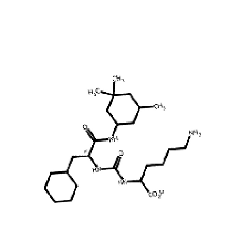 CC1CC(NC(=O)[C@H](CC2CCCCC2)NC(=O)NC(CCCCN)C(=O)O)CC(C)(C)C1